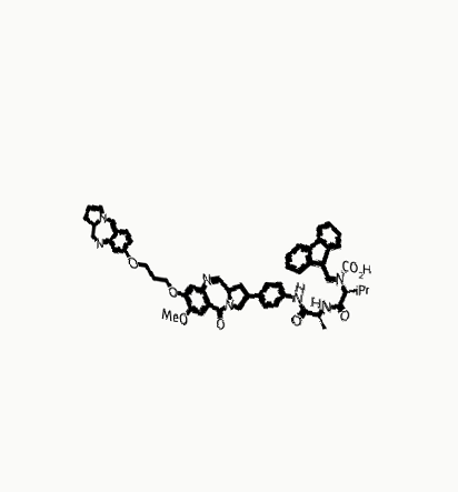 COc1cc2c(cc1OCCCOc1ccc3c(c1)=NCC1CC=CN1C=3)N=CC1CC(c3ccc(NC(=O)[C@H](C)NC(=O)[C@H](C(C)C)N(CC4c5ccccc5-c5ccccc54)C(=O)O)cc3)=CN1C2=O